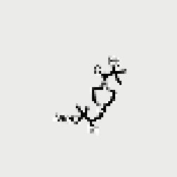 CCC(CN1CCN(C(=O)C(C)(C)CC)CC1)C(C)(C)OC